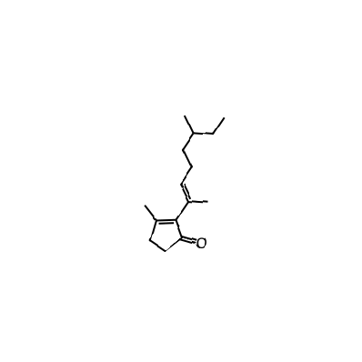 CCC(C)CCC=C(C)C1=C(C)CCC1=O